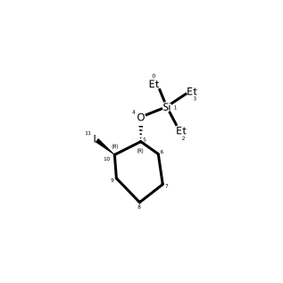 CC[Si](CC)(CC)O[C@@H]1CCCC[C@H]1I